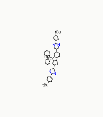 CC(C)(C)c1ccc(-c2ncc(-c3ccc4c(c3)C(C)(c3ccccc3-c3ccccc3)c3cc(-c5cnc(-c6ccc(C(C)(C)C)cc6)nc5)ccc3-4)cn2)cc1